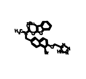 CCCCc1c(OC(=O)N(C)Cc2ccc3c(Br)c(OCc4nnn[nH]4)ccc3c2)oc2ccccc12